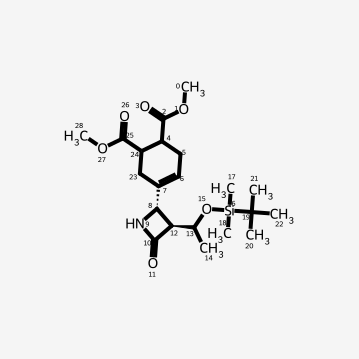 COC(=O)C1CC=C([C@H]2NC(=O)[C@@H]2C(C)O[Si](C)(C)C(C)(C)C)CC1C(=O)OC